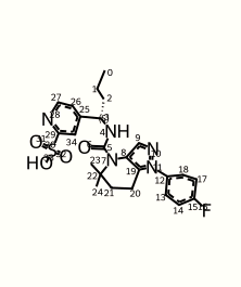 CCC[C@H](NC(=O)N1c2cnn(-c3ccc(F)cc3)c2CCC1(C)C)c1ccnc(S(=O)(=O)O)c1